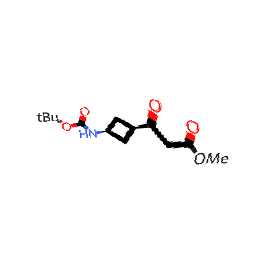 COC(=O)CC(=O)[C@H]1C[C@@H](NC(=O)OC(C)(C)C)C1